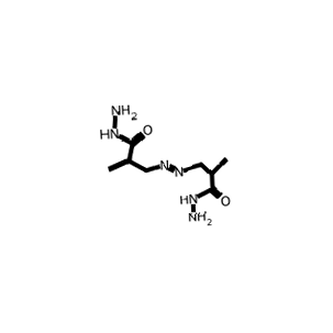 CC(CN=NCC(C)C(=O)NN)C(=O)NN